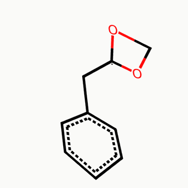 c1ccc(C[C]2OCO2)cc1